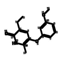 CCc1cc(Oc2cccc(OC)c2)c(C)[nH]c1=O